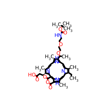 CCC1=C(C)c2cc3[nH]c(cc4nc(c5c6[nH]c(cc1n2)c(C)c6C(=O)OC5=O)[C@@H](CCC(=O)O)[C@@H]4C)c(C)c3C(C)OCCOCCNC(=O)OC(C)(C)C